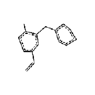 C=Cc1ccc(C)c(Cc2ccccc2)c1